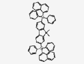 CC1(C)c2cc([Si](c3ccccc3)(c3ccccc3)c3cccc4ccccc34)ccc2-c2ccc([Si](c3ccccc3)(c3ccccc3)c3cccc4ccccc34)cc21